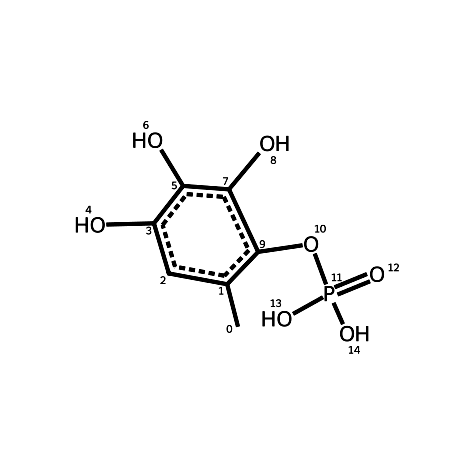 Cc1cc(O)c(O)c(O)c1OP(=O)(O)O